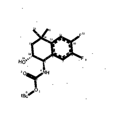 CC(C)(C)OC(=O)N[C@@H]1c2cc(F)c(F)cc2C(C)(C)C[C@H]1O